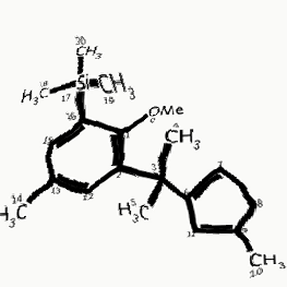 COc1c(C(C)(C)C2=CCC(C)=C2)cc(C)cc1[Si](C)(C)C